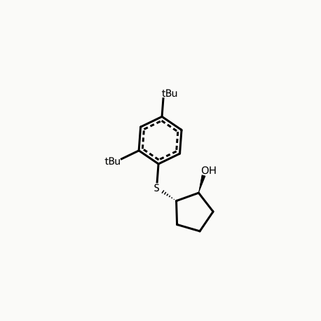 CC(C)(C)c1ccc(S[C@H]2CCC[C@@H]2O)c(C(C)(C)C)c1